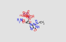 C=CCNc1nc2c(ncn2[C@H]2C[C@H](OON)[C@@H](COP(=O)(O)OP(=O)(O)OP(=O)(O)O)O2)c(=O)[nH]1